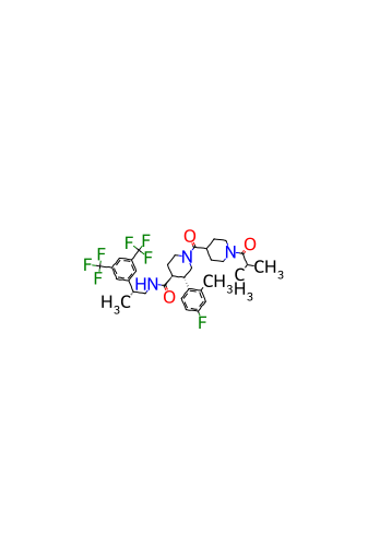 Cc1cc(F)ccc1[C@H]1CN(C(=O)C2CCN(C(=O)C(C)C)CC2)CC[C@@H]1C(=O)NC[C@H](C)c1cc(C(F)(F)F)cc(C(F)(F)F)c1